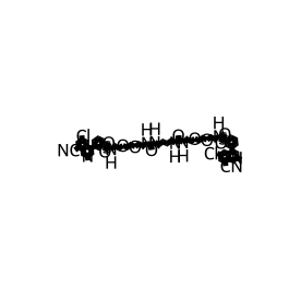 CN1Cc2c(C#N)cc(Cl)cc2C(c2cccc(S(=O)(=O)NCCOCCOCCNC(=O)NCCCCNC(=O)NCCOCCOCCNS(=O)(=O)c3cccc(C4CN(C)Cc5c(C#N)cc(Cl)cc54)c3)c2)C1